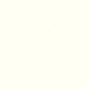 CC(C)CCN1CCCC(F)(F)C1